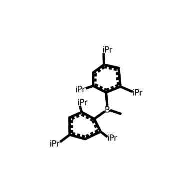 CB(c1c(C(C)C)cc(C(C)C)cc1C(C)C)c1c(C(C)C)cc(C(C)C)cc1C(C)C